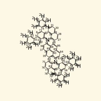 [2H]c1c([2H])c([2H])c(-c2cc(-c3c([2H])c([2H])c([2H])c([2H])c3[2H])c(F)c(N(c3cccc4ccccc34)c3ccc4ccc5c(N(c6cc(-c7c([2H])c([2H])c([2H])c([2H])c7[2H])cc(-c7c([2H])c([2H])c([2H])c([2H])c7[2H])c6F)c6cccc7ccccc67)ccc6ccc3c4c65)c2)c([2H])c1[2H]